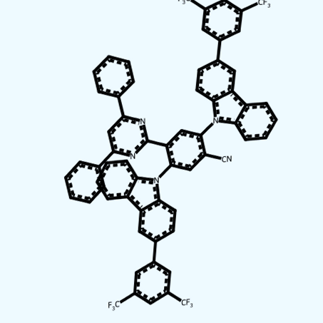 N#Cc1cc(-n2c3ccccc3c3cc(-c4cc(C(F)(F)F)cc(C(F)(F)F)c4)ccc32)c(-c2nc(-c3ccccc3)cc(-c3ccccc3)n2)cc1-n1c2ccccc2c2cc(-c3cc(C(F)(F)F)cc(C(F)(F)F)c3)ccc21